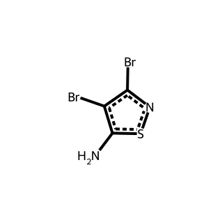 Nc1snc(Br)c1Br